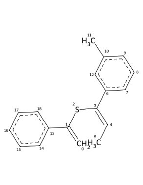 C=C(S/C(=C\C)c1cccc(C)c1)c1ccccc1